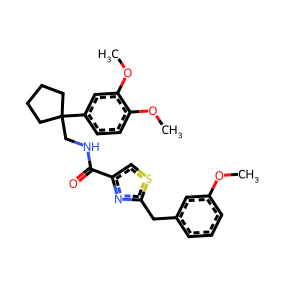 COc1cccc(Cc2nc(C(=O)NCC3(c4ccc(OC)c(OC)c4)CCCC3)cs2)c1